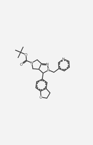 CC(C)(C)OC(=O)N1CC2=NN(Cc3cccnc3)C(c3ccc4c(c3)CCO4)C2C1